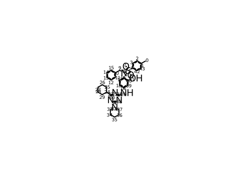 Cc1ccc(S(=O)(=O)N(Cc2ccccc2)c2ccc(Nc3nc(C4CCCCC4)nc(N4CCCCC4)n3)cc2O)cc1